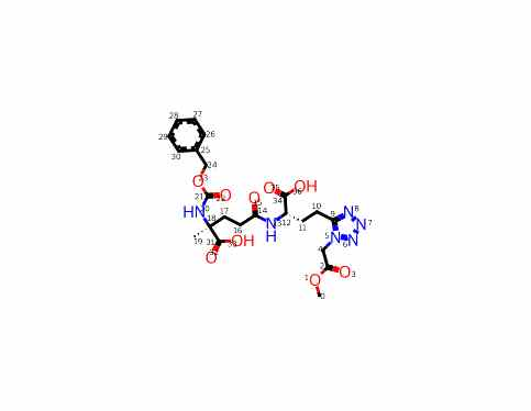 COC(=O)Cn1nnnc1CC[C@H](NC(=O)CC[C@](C)(NC(=O)OCc1ccccc1)C(=O)O)C(=O)O